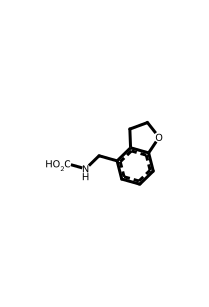 O=C(O)NCc1cccc2c1CCO2